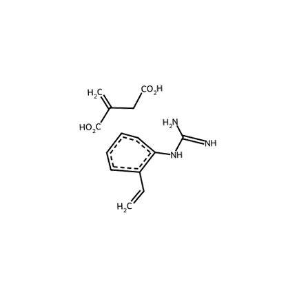 C=C(CC(=O)O)C(=O)O.C=Cc1ccccc1NC(=N)N